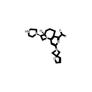 FC(F)c1nc(N2CC3(C=CCO3)C2)cc2c1CCC[C@H]1[C@H](N3CCNCC3)CN21